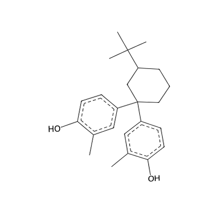 Cc1cc(C2(c3ccc(O)c(C)c3)CCCC(C(C)(C)C)C2)ccc1O